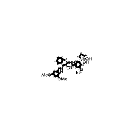 CCOc1cc(C(=O)N[C@@H](Cc2ccccc2)[C@H](O)CNCc2cc(OC)cc(OC)c2)cc(N2CCCS2(O)O)c1